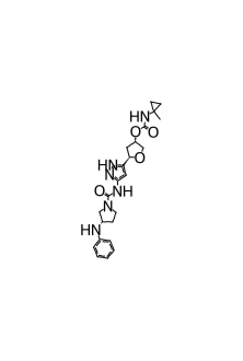 CC1(NC(=O)O[C@H]2CO[C@@H](c3cc(NC(=O)N4CC[C@H](Nc5ccccc5)C4)n[nH]3)C2)CC1